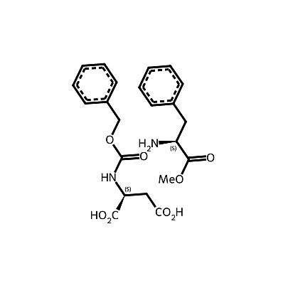 COC(=O)[C@@H](N)Cc1ccccc1.O=C(O)C[C@H](NC(=O)OCc1ccccc1)C(=O)O